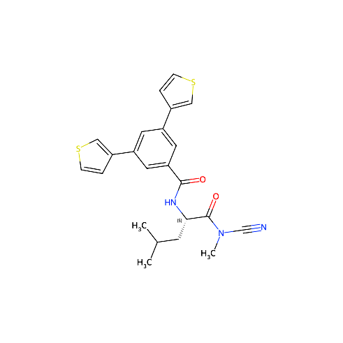 CC(C)C[C@H](NC(=O)c1cc(-c2ccsc2)cc(-c2ccsc2)c1)C(=O)N(C)C#N